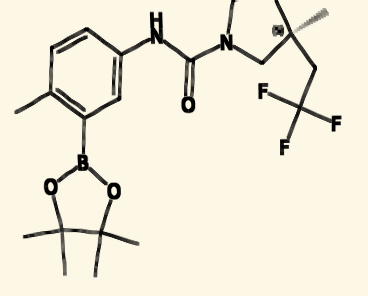 Cc1ccc(NC(=O)N2CC[C@@](C)(CC(F)(F)F)C2)cc1B1OC(C)(C)C(C)(C)O1